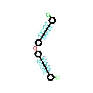 FC(F)(c1ccc(Oc2ccc(C(F)(F)C(F)(F)C(F)(F)C(F)(F)C(F)(F)c3cccc(Cl)c3)cc2)cc1)C(F)(F)C(F)(F)C(F)(F)C(F)(F)c1cccc(Cl)c1